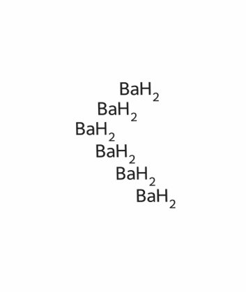 [BaH2].[BaH2].[BaH2].[BaH2].[BaH2].[BaH2]